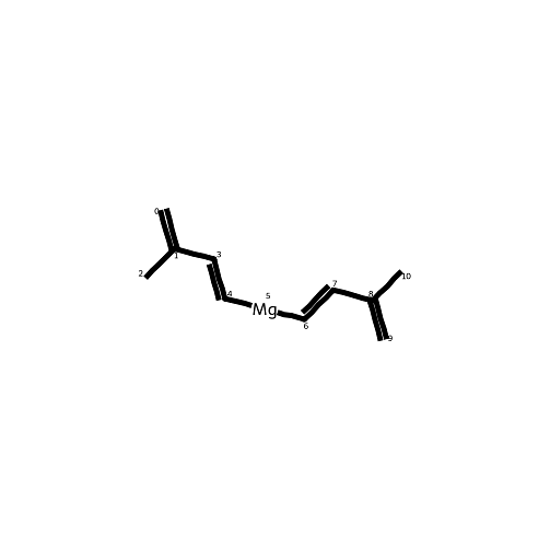 C=C(C)C=[CH][Mg][CH]=CC(=C)C